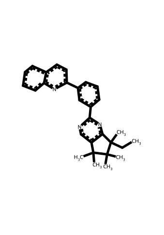 CCC1(C)c2nc(-c3cccc(-c4ccc5ccccc5n4)c3)ncc2C(C)(C)C1(C)C